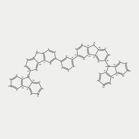 c1cc(-c2ccc3oc4ccc(-n5c6ccncc6c6cnccc65)cc4c3c2)cc(-c2ccc3sc4ccc(-n5c6ccncc6c6cnccc65)cc4c3c2)c1